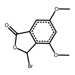 COc1cc(OC)c2c(c1)C(=O)OC2Br